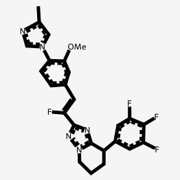 COc1cc(C=C(F)c2nc3n(n2)CCCC3c2cc(F)c(F)c(F)c2)ccc1-n1cnc(C)c1